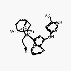 Cc1cc(Nc2nc(N[C@H]3CC4CC[C@H](C3)N(CCC#N)C4)n3cccnc23)n[nH]1